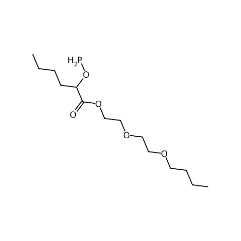 CCCCOCCOCCOC(=O)C(CCCC)OP